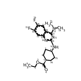 CCOC(=O)[C@H]1CC[C@@H](Nc2nc(N(C)C)c3cc(F)c(F)cc3n2)CC1